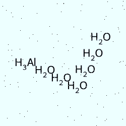 O.O.O.O.O.O.[AlH3]